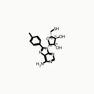 Cc1ccc(-c2nc3c(N)ncnc3n2[C@@H]2O[C@H](CS)[C@@H](O)[C@H]2O)cc1